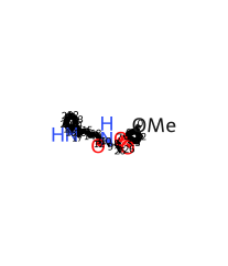 COc1ccc2c(c1)O[C@@H](CNC(=O)CCCc1c[nH]c3ccccc13)CO2